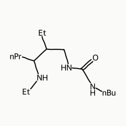 CCCCNC(=O)NCC(CC)C(CCC)NCC